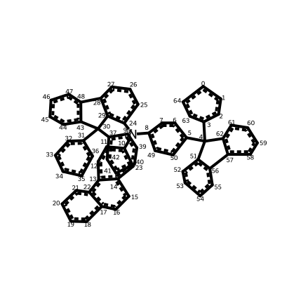 c1ccc(C2(c3ccc(N(c4ccc5c(ccc6ccccc65)c4)c4cccc5c4C(c4ccccc4)(c4ccccc4)c4ccccc4-5)cc3)c3ccccc3-c3ccccc32)cc1